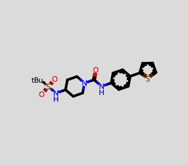 CC(C)(C)S(=O)(=O)NC1CCN(C(=O)Nc2ccc(-c3cccs3)cc2)CC1